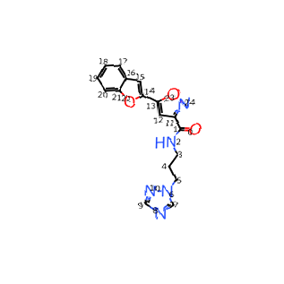 O=C(NCCCn1cncn1)c1cc(-c2cc3ccccc3o2)on1